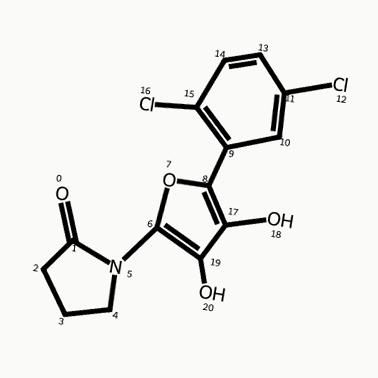 O=C1CCCN1c1oc(-c2cc(Cl)ccc2Cl)c(O)c1O